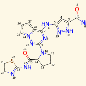 NC(=O)c1cc(Nc2nc(N3CCC[C@H]3C(=O)NC3=NCCS3)nn3cccc23)n[nH]1